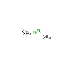 F.F.[BaH2].[GeH4]